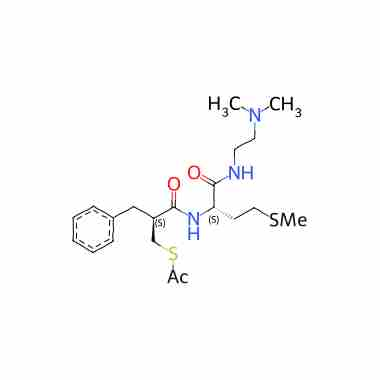 CSCC[C@H](NC(=O)[C@@H](CSC(C)=O)Cc1ccccc1)C(=O)NCCN(C)C